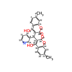 Cc1ccc2c(O)c(C(c3cccnc3)c3c(O)c4ccc(C)cc4oc3=O)c(=O)oc2c1